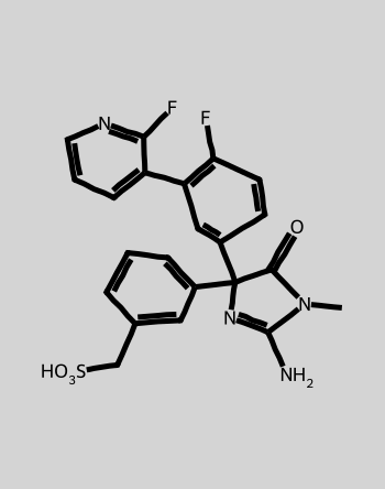 CN1C(=O)C(c2cccc(CS(=O)(=O)O)c2)(c2ccc(F)c(-c3cccnc3F)c2)N=C1N